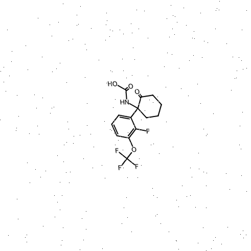 O=C(O)NC1(c2cccc(OC(F)(F)F)c2F)CCCCC1=O